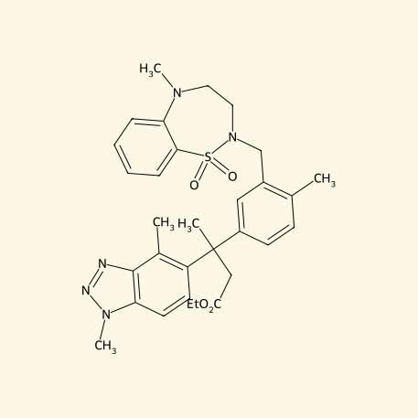 CCOC(=O)CC(C)(c1ccc(C)c(CN2CCN(C)c3ccccc3S2(=O)=O)c1)c1ccc2c(nnn2C)c1C